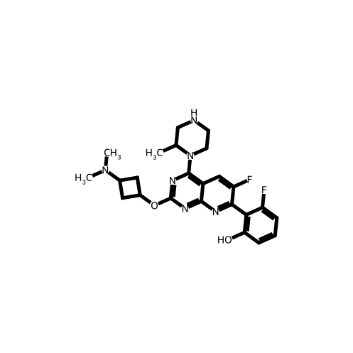 CC1CNCCN1c1nc(OC2CC(N(C)C)C2)nc2nc(-c3c(O)cccc3F)c(F)cc12